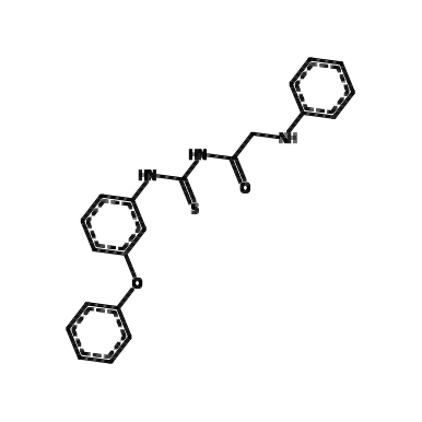 O=C(CNc1ccccc1)NC(=S)Nc1cccc(Oc2ccccc2)c1